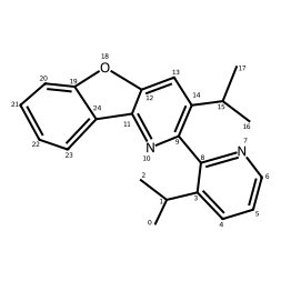 CC(C)c1cccnc1-c1nc2c(cc1C(C)C)oc1ccccc12